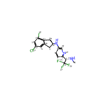 CN[C@@H](c1ccc(NC2Cc3cc(Cl)cc(F)c3C2)cn1)C(F)(F)F